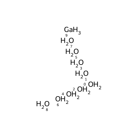 O.O.O.O.O.O.O.O.O.[GaH3]